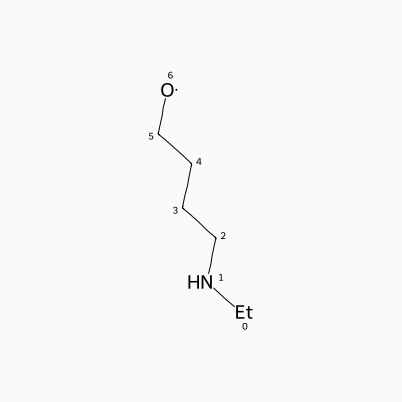 CCNCCCC[O]